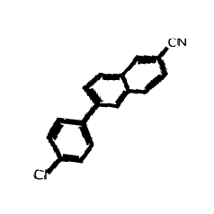 N#Cc1ccc2cc(-c3ccc(Cl)cc3)ccc2c1